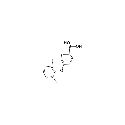 OB(O)c1ccc(Oc2c(F)cccc2F)cc1